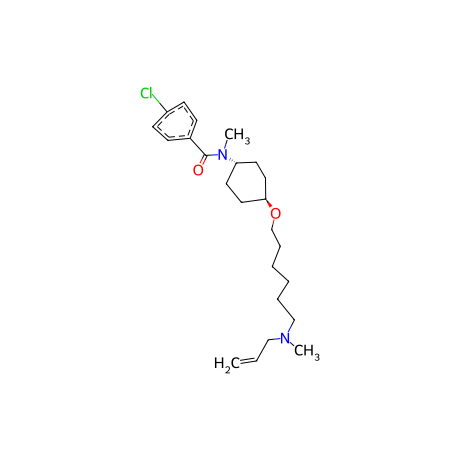 C=CCN(C)CCCCCCO[C@H]1CC[C@H](N(C)C(=O)c2ccc(Cl)cc2)CC1